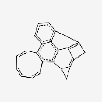 C1=CC=Cc2c(c3c4c5c(cccc25)C2=C4C(=C4CC43)C2)C=C1